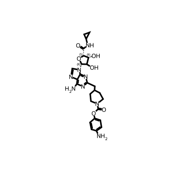 Nc1ccc(OC(=O)N2CCC(Cc3nc(N)c4ncn([C@@H]5O[C@H](C(=O)NC6CC6)[C@H](O)C5O)c4n3)CC2)cc1